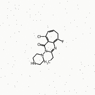 CCc1nc2c(c(=O)n1N1CCNCC1)=C(Cl)C=CCC=2F